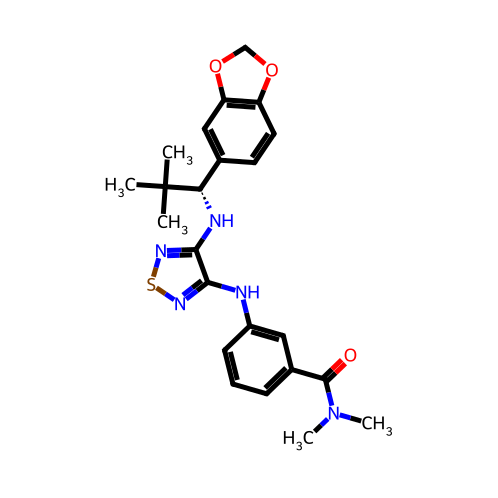 CN(C)C(=O)c1cccc(Nc2nsnc2N[C@@H](c2ccc3c(c2)OCO3)C(C)(C)C)c1